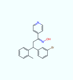 Cc1ccccc1C(CC(=NO)c1ccncc1)c1cccc(Br)c1